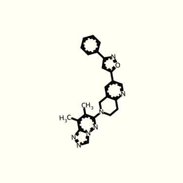 Cc1c(N2CCc3ncc(-c4cc(-c5ccccc5)no4)cc3C2)nn2cnnc2c1C